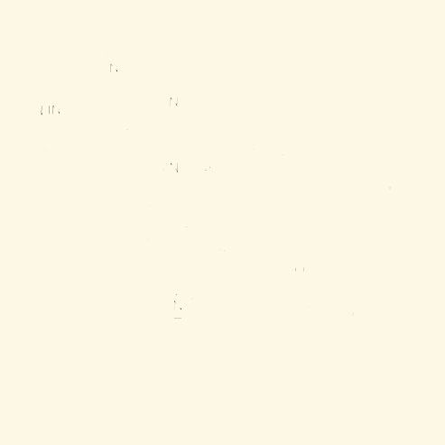 c1ccc(Oc2ccccc2-c2ccc3c(c2)C2(CCNCC2)CN3c2ncnc3[nH]ccc23)cc1